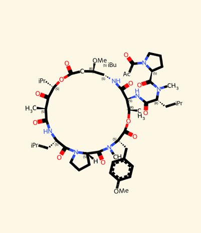 CC[C@H](C)[C@@H]1NC(=O)[C@@H](NC(=O)[C@@H](CC(C)C)N(C)C(=O)[C@@H]2CCCN2C(=O)C(C)=O)[C@@H](C)OC(=O)[C@H](Cc2ccc(OC)cc2)N(C)C(=O)[C@@H]2CCCN2C(=O)[C@H](CC(C)C)NC(=O)[C@@H](C)C(=O)[C@H](C(C)C)OC(=O)C[C@H]1OC